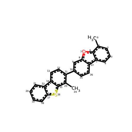 Cc1cccc2c1oc1cc(-c3ccc4c(sc5ccccc54)c3C)ccc12